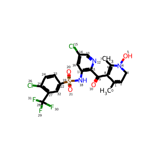 CC1=CCN(O)C(C)=C1C(=O)c1ncc(Cl)cc1NS(=O)(=O)c1ccc(Cl)c(C(F)(F)F)c1